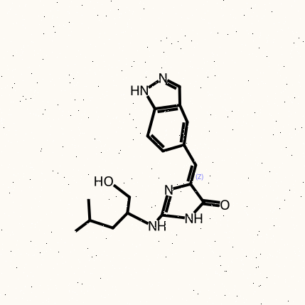 CC(C)CC(CO)NC1=N/C(=C\c2ccc3[nH]ncc3c2)C(=O)N1